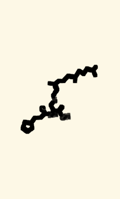 C=C(O)C(CSC/C=C(\C)CC/C=C(\C)CCC=C(C)C)NC(=O)CCC1=CC=CC1